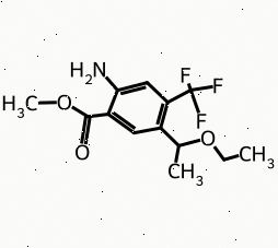 CCOC(C)c1cc(C(=O)OC)c(N)cc1C(F)(F)F